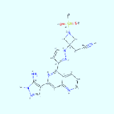 Cn1ncc(-c2cc3ncccc3c(-c3ccn(C4(CC#N)CN(S(C)(=O)=O)C4)n3)n2)c1N